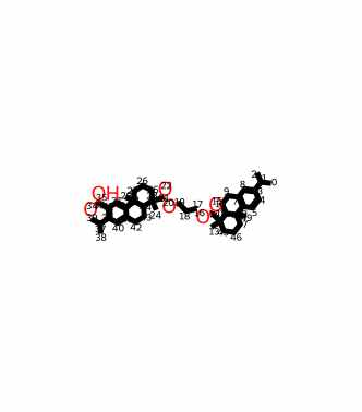 CC(C)c1ccc2c(c1)CCC1C(C)(C(=O)OCCCOC(=O)C3(C)CCCC4(C)c5cc(C(=O)O)c(C(C)C)cc5CCC34)CCCC21C